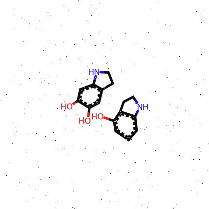 Oc1cc2c(cc1O)NCC2.Oc1cccc2c1CCN2